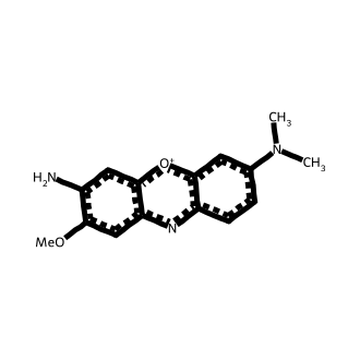 COc1cc2nc3ccc(N(C)C)cc3[o+]c2cc1N